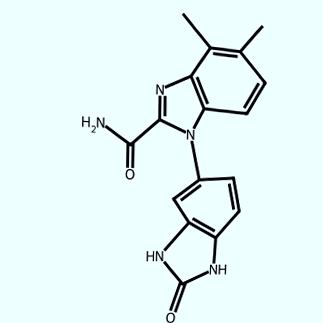 Cc1ccc2c(nc(C(N)=O)n2-c2ccc3[nH]c(=O)[nH]c3c2)c1C